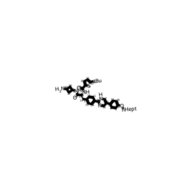 CCCCCCCOc1ccc(C2=CNC(c3ccc(C[C@H](NC(=O)c4ccc(C(C)(C)C)s4)C(=O)NC4CC(N)C4)cc3)N=C2)cc1